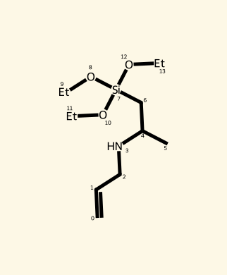 C=CCNC(C)C[Si](OCC)(OCC)OCC